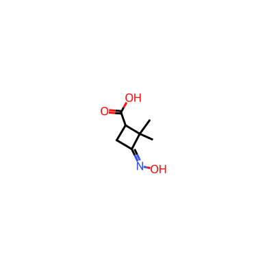 CC1(C)/C(=N\O)CC1C(=O)O